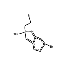 O=CC1(CCBr)C=c2ccc(Br)cc2=N1